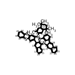 Cc1cc2c(cc1N1B3c4c(cc5ccccc5c4-n4c5cc6ccccc6cc5c5cccc3c54)-c3cc4c(cc31)Sc1ccccc1S4)C(C)(C)CCC2(C)C